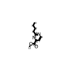 CCCCc1nccc(C(=O)OC)n1